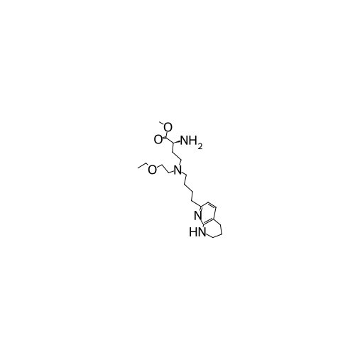 CCOCCN(CCCCc1ccc2c(n1)NCCC2)CC[C@H](N)C(=O)OC